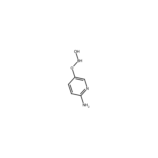 Nc1ccc(OBO)cn1